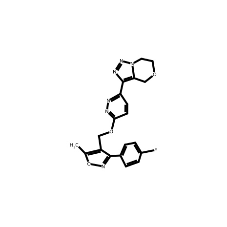 Cc1onc(-c2ccc(F)cc2)c1COc1ccc(-c2nnn3c2COCC3)nn1